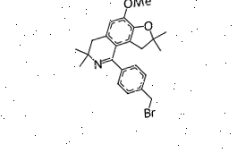 COc1cc2c(c3c1OC(C)(C)C3)C(c1ccc(CBr)cc1)=NC(C)(C)C2